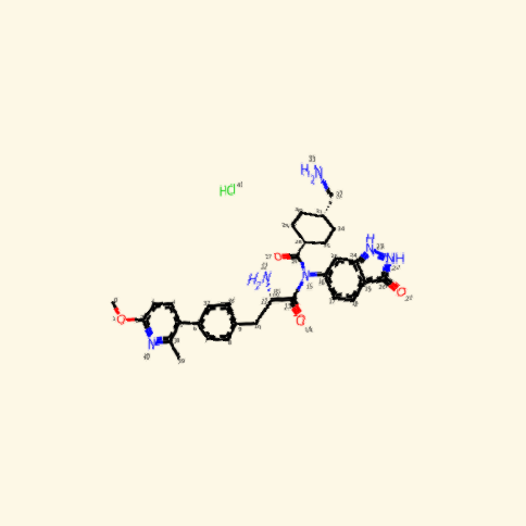 COc1ccc(-c2ccc(C[C@H](N)C(=O)N(c3ccc4c(=O)[nH][nH]c4c3)C(=O)[C@H]3CC[C@H](CN)CC3)cc2)c(C)n1.Cl